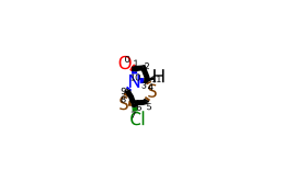 O=C1C[C@@H]2SCC3(Cl)SC3N12